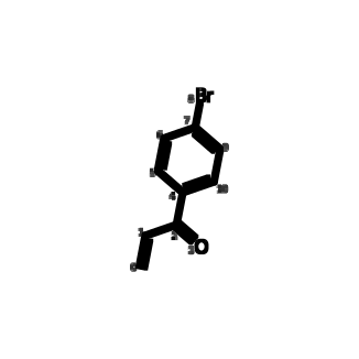 C=CC(=O)c1ccc(Br)cc1